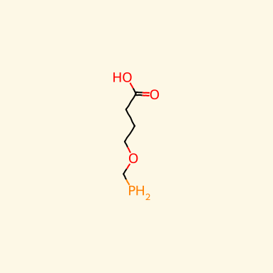 O=C(O)CCCOCP